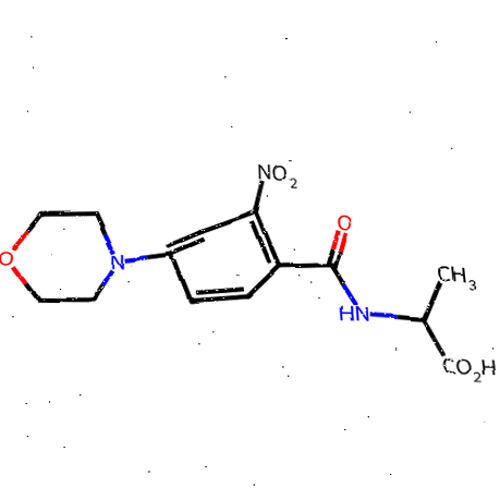 CC(NC(=O)c1ccc(N2CCOCC2)cc1[N+](=O)[O-])C(=O)O